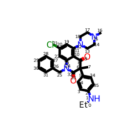 CCNc1ccc(C2(C)C(=O)c3c(N4CCN(C)CC4)cc(Cl)cc3N(Cc3ccccc3)C2=O)cc1